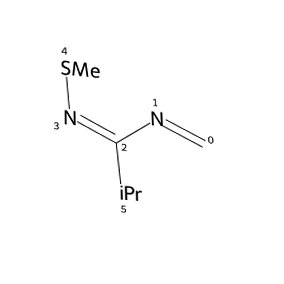 C=N/C(=N\SC)C(C)C